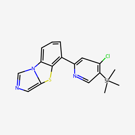 C[Si](C)(C)c1cnc(-c2cccc3c2sc2cncn23)cc1Cl